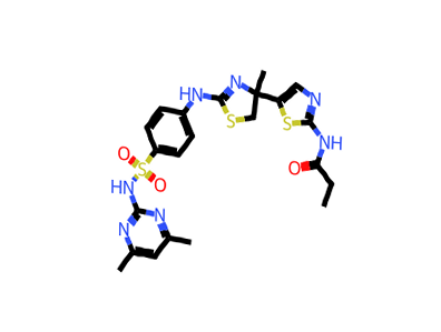 CCC(=O)Nc1ncc(C2(C)CSC(Nc3ccc(S(=O)(=O)Nc4nc(C)cc(C)n4)cc3)=N2)s1